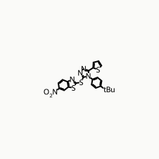 CC(C)(C)c1ccc(-n2c(Sc3nc4ccc([N+](=O)[O-])cc4s3)nnc2-c2cccs2)cc1